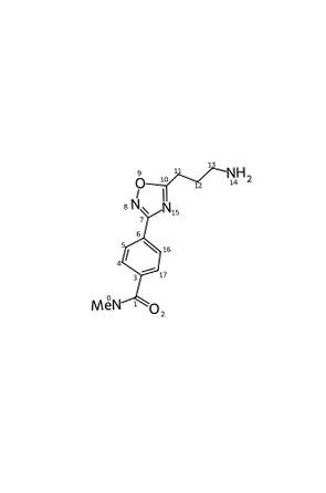 CNC(=O)c1ccc(-c2noc(CCCN)n2)cc1